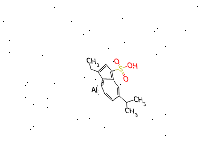 CCc1cc(S(=O)(=O)O)c2cc(C(C)C)cccc1-2.[Al]